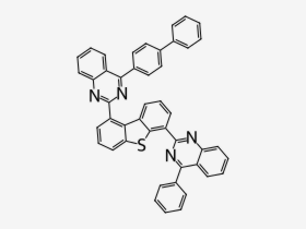 c1ccc(-c2ccc(-c3nc(-c4cccc5sc6c(-c7nc(-c8ccccc8)c8ccccc8n7)cccc6c45)nc4ccccc34)cc2)cc1